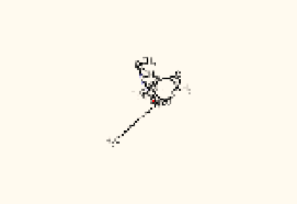 CCCCCCCCCCCCCCCC(=O)OC1CC(C(C)C(OC)/C(C)=C/C=C/C(C)=C/c2coc(C)n2)OC(=O)C2OC2CC2CC(=O)OC(C2)C(C)CCC2OC12C